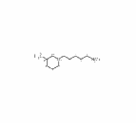 CNCCCCCN1CCCC(C)C1